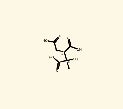 C[C@@](O)(C(=O)O)[C@@H](CC(=O)O)C(=O)O